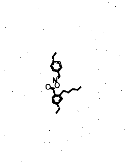 CCCCCc1cc(CC)ccc1C(=O)ON=Cc1ccc(CC)cc1